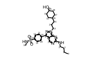 CCCCNc1ncc2c(-c3ccc(S(=O)(=O)NC)cc3)nn(CCCC3CCC(O)CC3)c2n1